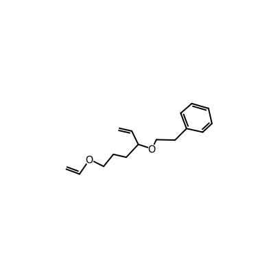 C=COCCCC(C=C)OCCc1ccccc1